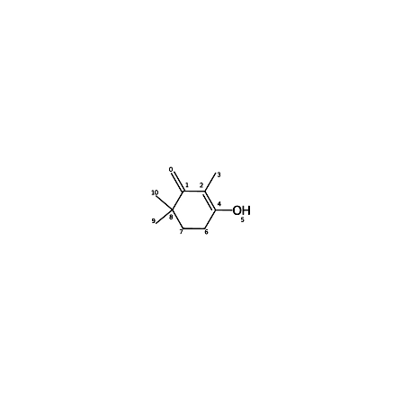 C=C1C(C)=C(O)CCC1(C)C